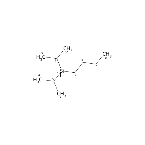 CCCC[SiH](C(C)C)C(C)C